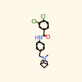 CN(Cc1ccc(NC(=O)c2ccc(Cl)c(Cl)c2)cc1)C1C2CCC1C2